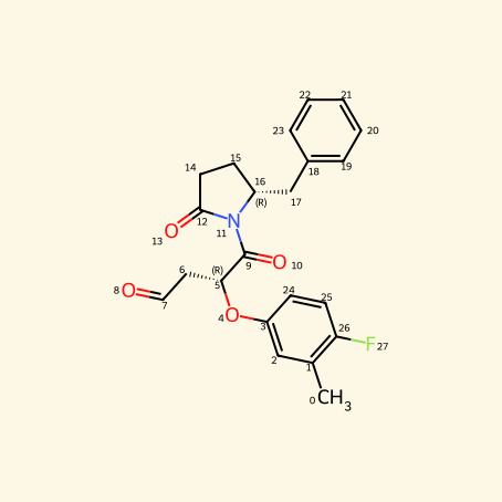 Cc1cc(O[C@H](CC=O)C(=O)N2C(=O)CC[C@@H]2Cc2ccccc2)ccc1F